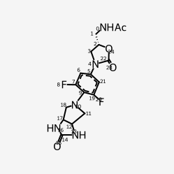 CC(=O)NC[C@H]1CN(c2cc(F)c(N3CC4NC(=O)NC4C3)c(F)c2)C(=O)O1